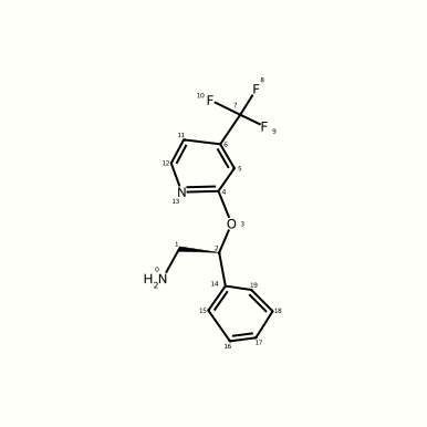 NC[C@@H](Oc1cc(C(F)(F)F)ccn1)c1ccccc1